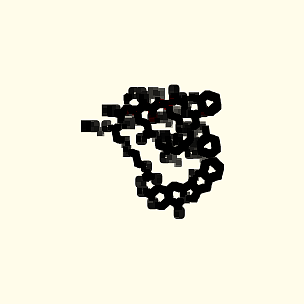 CC(C)(CNC(=O)CCC(NC(=O)N[C@@H](CCC(=O)O)C(=O)O)C(=O)O)CC(C)(C)C(=O)N[C@@H](Cc1ccccc1)C(=O)N[C@@H](Cc1ccccc1)C(=O)NC[C@H](N)C(=O)N[C@@H](CC(=O)O)C(=O)N[C@@H](CSSCCOC(=O)O[C@@H]1C(=O)OCc2c1cc1n(c2=O)Cc2cc3ccccc3nc2-1)C(=O)O